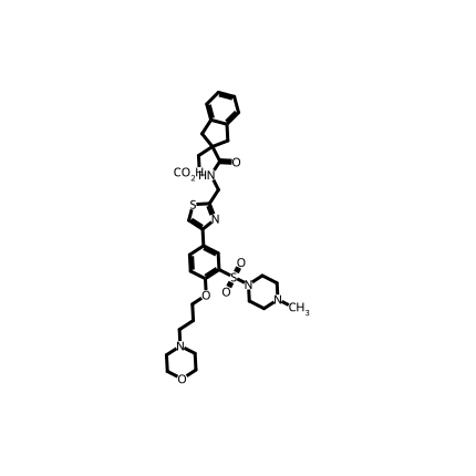 CN1CCN(S(=O)(=O)c2cc(-c3csc(CNC(=O)C4(CC(=O)O)Cc5ccccc5C4)n3)ccc2OCCCN2CCOCC2)CC1